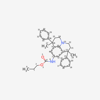 CCCOC(=O)Nc1cc2c3c(c1)C(C)(c1ccccc1)CCN3CCC2(C)c1ccccc1